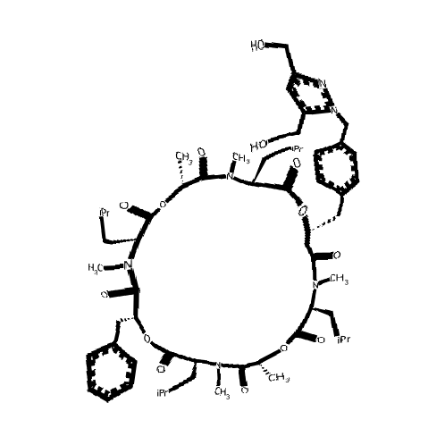 CC(C)C[C@H]1C(=O)O[C@H](Cc2ccc(Cn3nc(CO)cc3CO)cc2)C(=O)N(C)[C@@H](CC(C)C)C(=O)O[C@H](C)C(=O)N(C)[C@@H](CC(C)C)C(=O)O[C@H](Cc2ccccc2)C(=O)N(C)[C@@H](CC(C)C)C(=O)O[C@H](C)C(=O)N1C